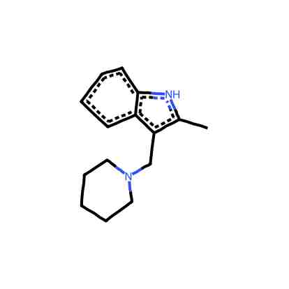 Cc1[nH]c2ccccc2c1CN1CCCCC1